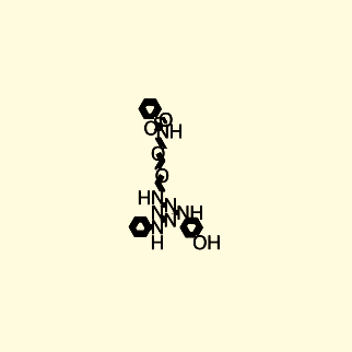 O=S(=O)(NCCOCCOCCNc1nc(Nc2ccccc2)nc(Nc2ccc(O)cc2)n1)c1ccccc1